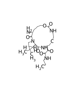 C=CCNC(=O)C(=O)[C@@H]1CCCCNC(=O)OCCC[C@H](N)C(=O)N2C[C@H]3[C@@H]([C@H]2C(=O)N1)C3(C)C